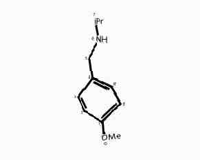 COc1ccc(CNC(C)C)cc1